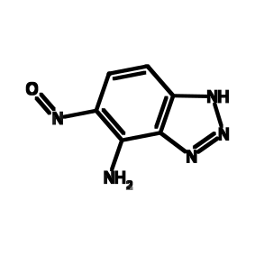 Nc1c(N=O)ccc2[nH]nnc12